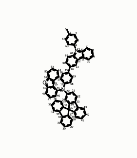 Cc1ccc(-n2c3ccccc3c3cc(-c4ccc(N(c5ccc6c(c5)C5(c7ccccc7-c7ccccc75)c5ccccc5-6)c5cccc6oc7ccccc7c56)cc4)ccc32)cc1